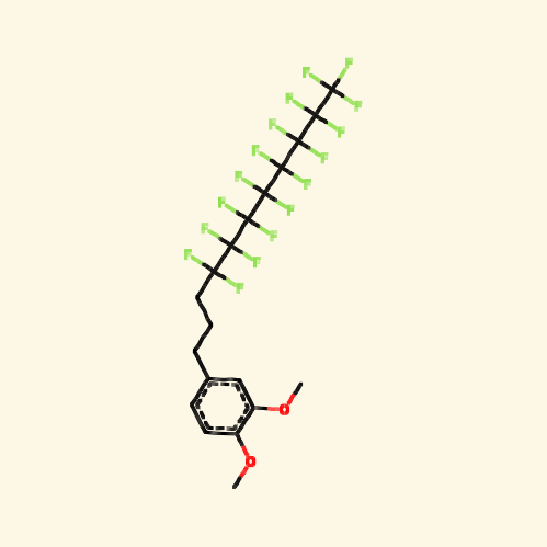 COc1ccc(CCCC(F)(F)C(F)(F)C(F)(F)C(F)(F)C(F)(F)C(F)(F)C(F)(F)C(F)(F)F)cc1OC